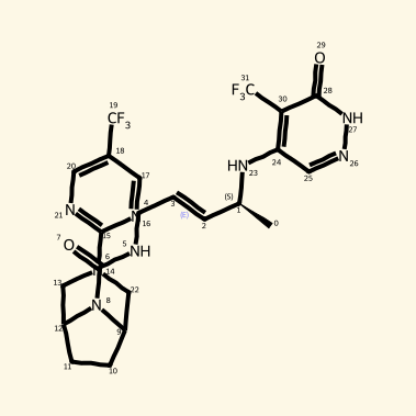 C[C@@H](/C=C/CNC(=O)N1C2CCC1CN(c1ncc(C(F)(F)F)cn1)C2)Nc1cn[nH]c(=O)c1C(F)(F)F